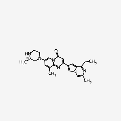 CCc1nc(C)cn2cc(-c3cc(=O)n4cc(N5CCN[C@H](C)C5)cc(C)c4n3)cc12